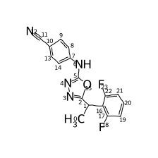 CC(c1nnc(Nc2ccc(C#N)cc2)o1)c1c(F)cccc1F